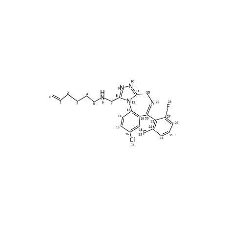 C=CCCCCNCc1nnc2n1-c1ccc(Cl)cc1C(c1c(F)cccc1F)=NC2